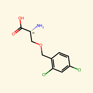 N[C@H](COCc1ccc(Cl)cc1Cl)C(=O)O